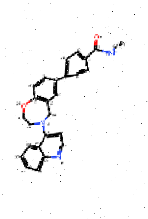 CCCNC(=O)c1ccc(-c2ccc3c(c2)CN(c2ccnc4ccccc24)CCO3)cc1